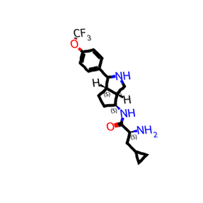 N[C@@H](CC1CC1)C(=O)N[C@H]1CC[C@@H]2C(c3ccc(OC(F)(F)F)cc3)NC[C@H]12